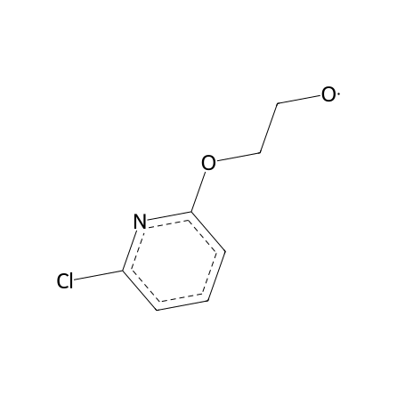 [O]CCOc1cccc(Cl)n1